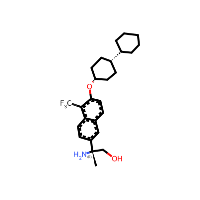 C[C@](N)(CO)c1ccc2c(C(F)(F)F)c(O[C@H]3CC[C@@H](C4CCCCC4)CC3)ccc2c1